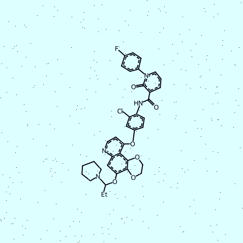 CCC(Oc1cc2nccc(Oc3ccc(NC(=O)c4cccn(-c5ccc(F)cc5)c4=O)c(Cl)c3)c2c2c1OCCO2)N1CCCCC1